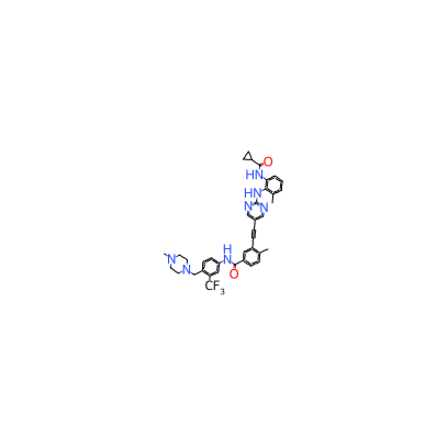 Cc1ccc(C(=O)Nc2ccc(CN3CCN(C)CC3)c(C(F)(F)F)c2)cc1C#Cc1cnc(Nc2c(C)cccc2NC(=O)C2CC2)nc1